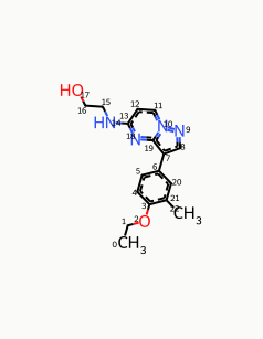 CCOc1ccc(-c2cnn3ccc(NCCO)nc23)cc1C